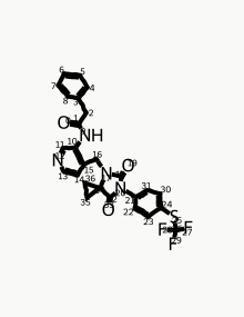 O=C(Cc1ccccc1)Nc1cnccc1CN1C(=O)N(c2ccc(SC(F)(F)F)cc2)C(=O)C12CC2